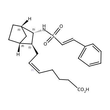 O=C(O)CCC/C=C\C[C@H]1[C@@H]2CC[C@@H](C2)[C@@H]1NS(=O)(=O)C=Cc1ccccc1